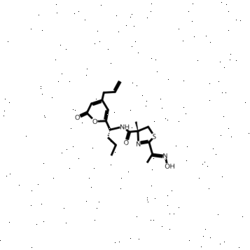 C=CCc1cc([C@@H](CCC)NC(=O)[C@]2(C)CSC(/C(C)=N/O)=N2)oc(=O)c1